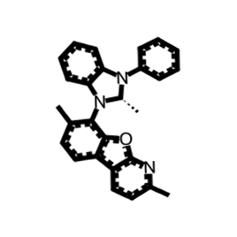 Cc1ccc2c(n1)oc1c(N3c4ccccc4N(c4ccccc4)[C@@H]3C)c(C)ccc12